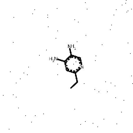 CCc1cc(N)c(N)cn1